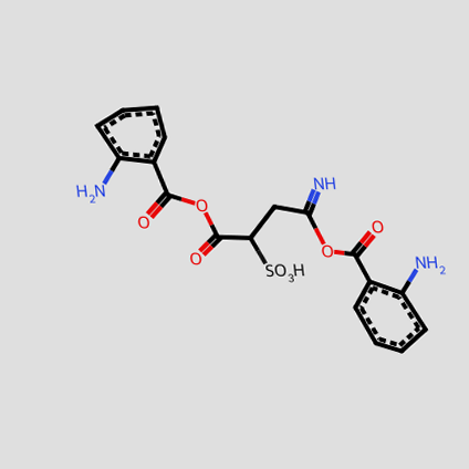 N=C(CC(C(=O)OC(=O)c1ccccc1N)S(=O)(=O)O)OC(=O)c1ccccc1N